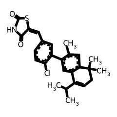 Cc1cc2c(cc1-c1cc(/C=C3/SC(=O)NC3=O)ccc1Cl)C(C(C)C)=CCC2(C)C